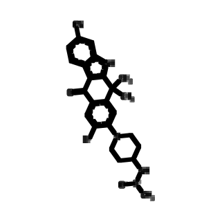 C[S+]([O-])NC1CCN(c2cc3c(cc2Br)C(=O)c2c([nH]c4cc(C#N)ccc24)C3(C)C)CC1